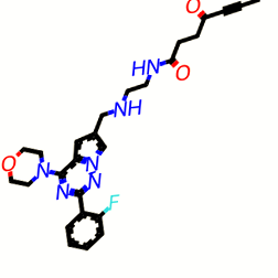 CC#CC(=O)CCC(=O)NCCNCc1cc2c(N3CCOCC3)nc(-c3ccccc3F)nn2c1